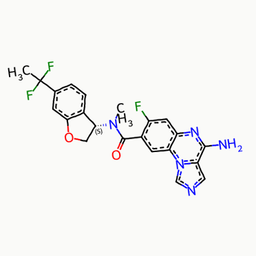 CN(C(=O)c1cc2c(cc1F)nc(N)c1cncn12)[C@@H]1COc2cc(C(C)(F)F)ccc21